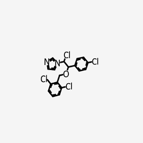 Clc1ccc(C(OCc2c(Cl)cccc2Cl)C(Cl)n2ccnc2)cc1